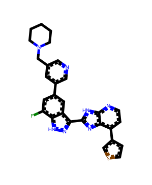 Fc1cc(-c2cncc(CN3CCCCC3)c2)cc2c(-c3nc4c(-c5ccsc5)ccnc4[nH]3)n[nH]c12